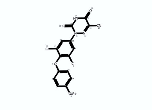 COc1ccc(Oc2c(Cl)cc(-n3nc(C#N)c(=O)[nH]c3=O)cc2Cl)cc1